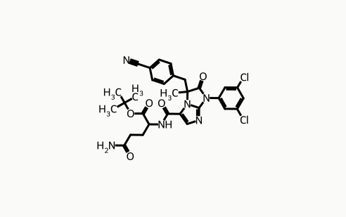 CC(C)(C)OC(=O)C(CCC(N)=O)NC(=O)c1cnc2n1C(C)(Cc1ccc(C#N)cc1)C(=O)N2c1cc(Cl)cc(Cl)c1